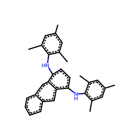 Cc1cc(C)c(Nc2ccc(Nc3c(C)cc(C)cc3C)c3cc4ccccc4cc23)c(C)c1